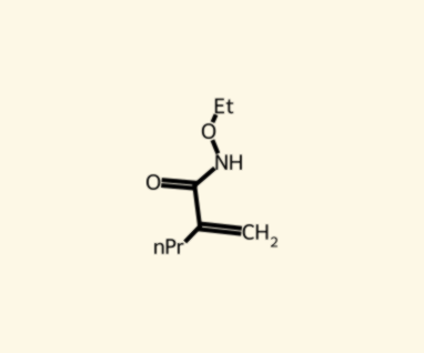 C=C(CCC)C(=O)NOCC